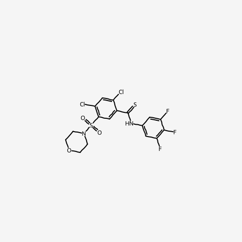 O=S(=O)(c1cc(C(=S)Nc2cc(F)c(F)c(F)c2)c(Cl)cc1Cl)N1CCOCC1